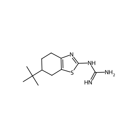 CC(C)(C)C1CCc2nc(NC(=N)N)sc2C1